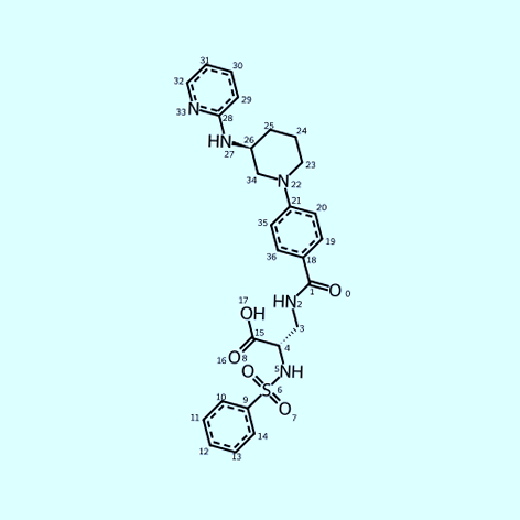 O=C(NC[C@H](NS(=O)(=O)c1ccccc1)C(=O)O)c1ccc(N2CCC[C@H](Nc3ccccn3)C2)cc1